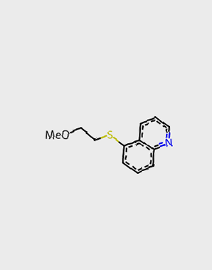 COCCSc1cccc2ncccc12